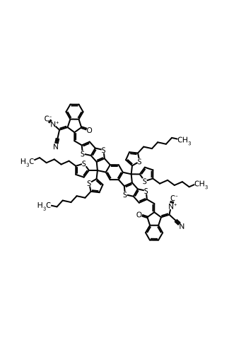 [C-]#[N+]/C(C#N)=C1\C(=C\c2cc3sc4c(c3s2)C(c2ccc(CCCCCC)s2)(c2ccc(CCCCCC)s2)c2cc3c(cc2-4)C(c2ccc(CCCCCC)s2)(c2ccc(CCCCCC)s2)c2c-3sc3cc(/C=C4\C(=O)c5ccccc5\C4=C(\C#N)[N+]#[C-])sc23)C(=O)c2ccccc21